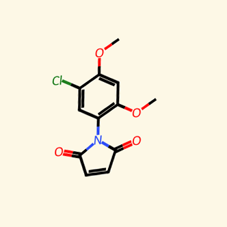 COc1cc(OC)c(N2C(=O)C=CC2=O)cc1Cl